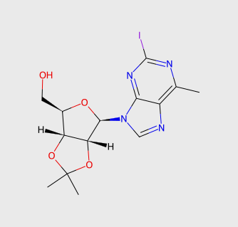 Cc1nc(I)nc2c1ncn2[C@@H]1O[C@H](CO)[C@H]2OC(C)(C)O[C@H]21